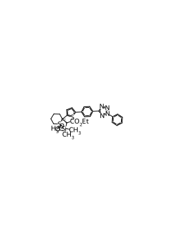 CCOC(=O)C([C@]1(c2ccc(-c3ccc(-c4nnn(-c5ccccc5)n4)cc3)s2)CCCCS1(=O)=O)[Si](C)(C)C